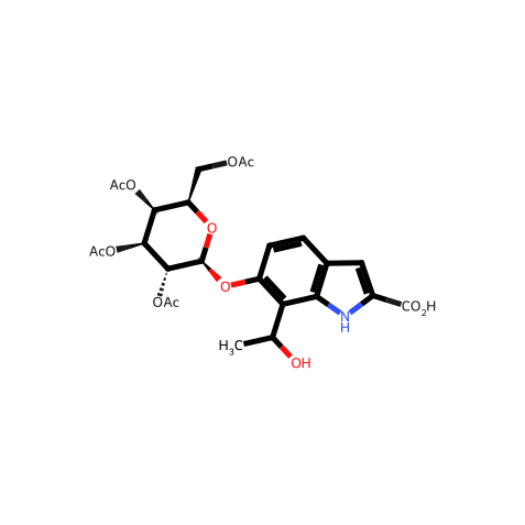 CC(=O)OC[C@H]1O[C@@H](Oc2ccc3cc(C(=O)O)[nH]c3c2C(C)O)[C@H](OC(C)=O)[C@@H](OC(C)=O)[C@H]1OC(C)=O